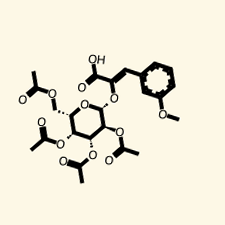 COc1cccc(/C=C(\O[C@H]2O[C@@H](COC(C)=O)[C@@H](OC(C)=O)[C@@H](OC(C)=O)[C@@H]2OC(C)=O)C(=O)O)c1